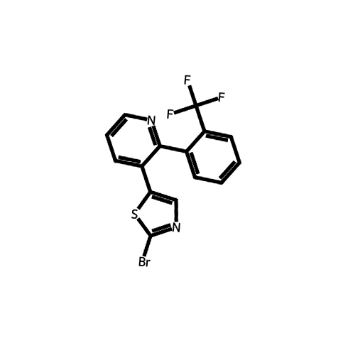 FC(F)(F)c1ccccc1-c1ncccc1-c1cnc(Br)s1